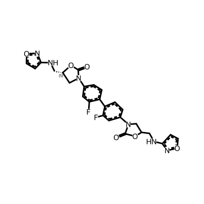 O=C1OC(CNc2ccon2)CN1c1ccc(-c2ccc(N3C[C@H](CNc4ccon4)OC3=O)cc2F)c(F)c1